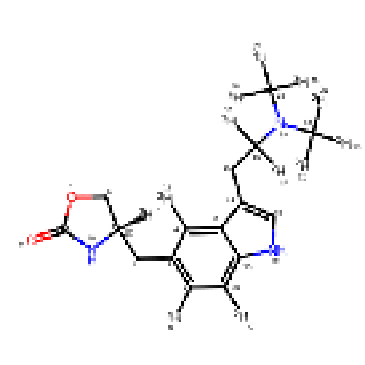 [2H]c1c(C[C@@]2([2H])COC(=O)N2)c([2H])c2c(CC([2H])([2H])N(C([2H])([2H])[2H])C([2H])([2H])[2H])c[nH]c2c1[2H]